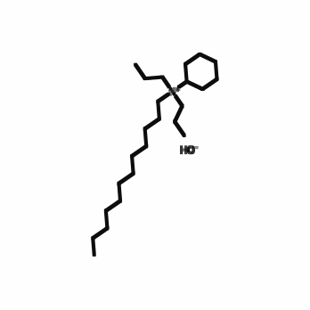 CCCCCCCCCCCC[N+](CCC)(CCC)C1CCCCC1.[OH-]